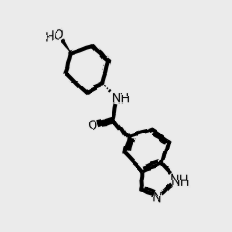 O=C(N[C@H]1CC[C@H](O)CC1)c1ccc2[nH]ncc2c1